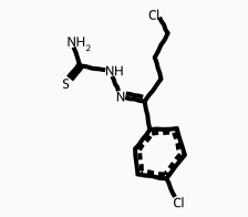 NC(=S)NN=C(CCCCl)c1ccc(Cl)cc1